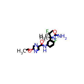 CCOc1cnc(C(=O)Nc2ccc(F)c([C@@]3(C)N=C(N)OC[C@]3(C)F)c2)cn1